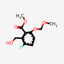 COCOc1ccc(F)c(CO)c1C(=O)OC